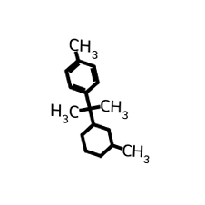 Cc1ccc(C(C)(C)C2CCCC(C)C2)cc1